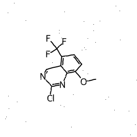 COc1ccc(C(F)(F)F)c2cnc(Cl)nc12